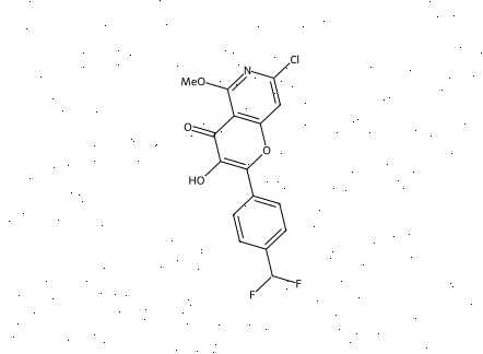 COc1nc(Cl)cc2oc(-c3ccc(C(F)F)cc3)c(O)c(=O)c12